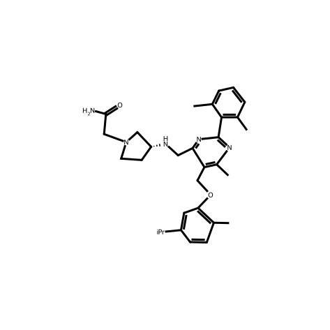 Cc1ccc(C(C)C)cc1OCc1c(C)nc(-c2c(C)cccc2C)nc1CN[C@@H]1CCN(CC(N)=O)C1